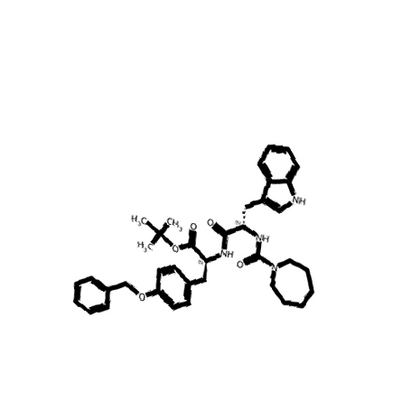 CC(C)(C)OC(=O)[C@H](Cc1ccc(OCc2ccccc2)cc1)NC(=O)[C@H](Cc1c[nH]c2ccccc12)NC(=O)N1CCCCCC1